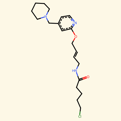 O=C(CCCCCl)NCC=CCOc1cc(CN2CCCCC2)ccn1